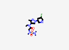 CCN(C(=O)CN(C)S(=O)(=O)N(C)C)c1cn(-c2cncc(F)c2)nc1C